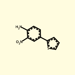 Nc1ccc(-c2cccs2)cc1[N+](=O)[O-]